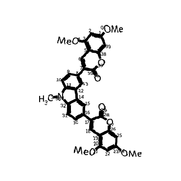 COc1cc(OC)c2cc(-c3ccc4c(c3)c3cc(-c5cc6c(OC)cc(OC)cc6oc5=O)ccc3n4C)c(=O)oc2c1